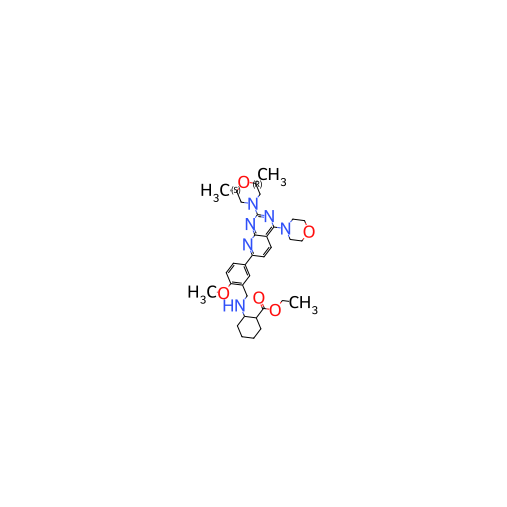 CCOC(=O)C1CCCCC1NCc1cc(-c2ccc3c(N4CCOCC4)nc(N4C[C@@H](C)O[C@@H](C)C4)nc3n2)ccc1OC